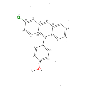 COc1ccc(-c2c3ccccc3cc3cc(Cl)ccc23)cc1